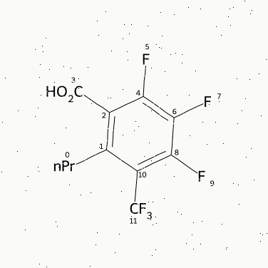 CCCc1c(C(=O)O)c(F)c(F)c(F)c1C(F)(F)F